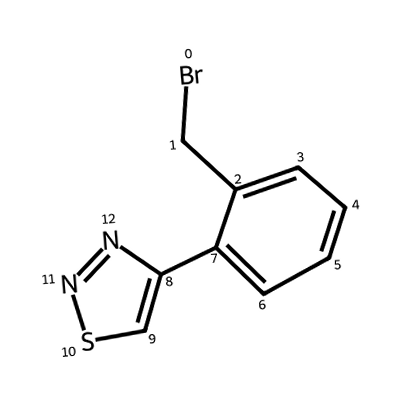 BrCc1ccccc1-c1csnn1